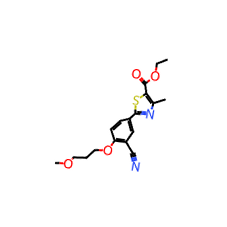 CCOC(=O)c1sc(-c2ccc(OCCCOC)c(C#N)c2)nc1C